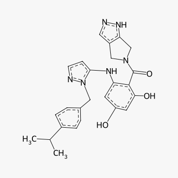 CC(C)c1ccc(Cn2nccc2Nc2cc(O)cc(O)c2C(=O)N2Cc3cn[nH]c3C2)cc1